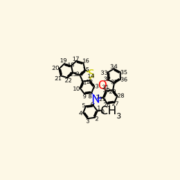 Cc1ccccc1N(c1ccc2c(c1)sc1ccc3ccccc3c12)c1cccc2c1oc1ccccc12